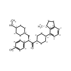 CNC1CCN(C[C@@H](C(=O)N2CCN(c3ncnc4c3[C@H](C)CC4)CC2)c2ccc(Cl)cc2)CC1